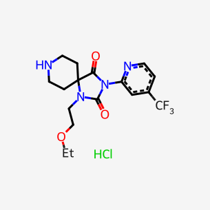 CCOCCN1C(=O)N(c2cc(C(F)(F)F)ccn2)C(=O)C12CCNCC2.Cl